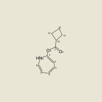 O=C(OC1=CC=CC=CN1)C1CCC1